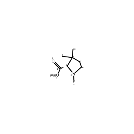 COC(=O)[C@H]1N(F)CCC1(C)C